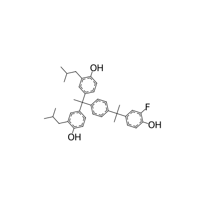 CC(C)Cc1cc(C(C)(c2ccc(C(C)(C)c3ccc(O)c(F)c3)cc2)c2ccc(O)c(CC(C)C)c2)ccc1O